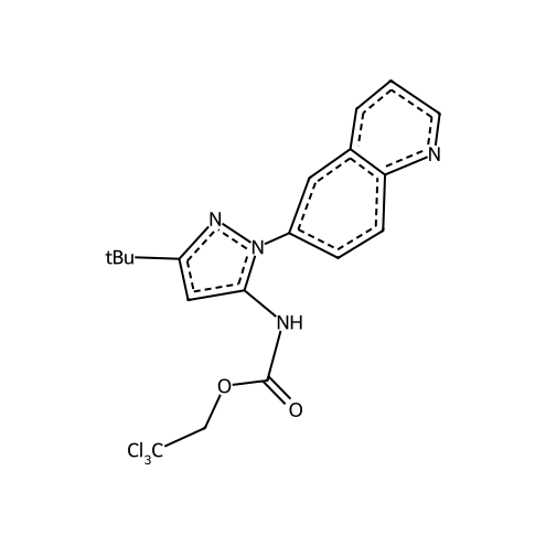 CC(C)(C)c1cc(NC(=O)OCC(Cl)(Cl)Cl)n(-c2ccc3ncccc3c2)n1